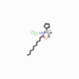 CCCCCCCCCC(=O)[NH][Hf+2]([C]1=CC=CC1)[SiH](C)C.[Cl-].[Cl-]